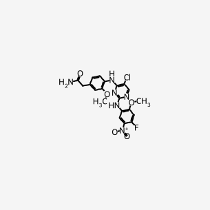 COc1cc(F)c([N+](=O)[O-])cc1Nc1ncc(Cl)c(Nc2ccc(CC(N)=O)cc2OC)n1